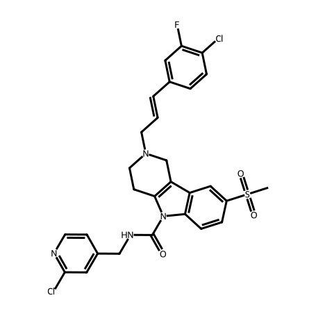 CS(=O)(=O)c1ccc2c(c1)c1c(n2C(=O)NCc2ccnc(Cl)c2)CCN(CC=Cc2ccc(Cl)c(F)c2)C1